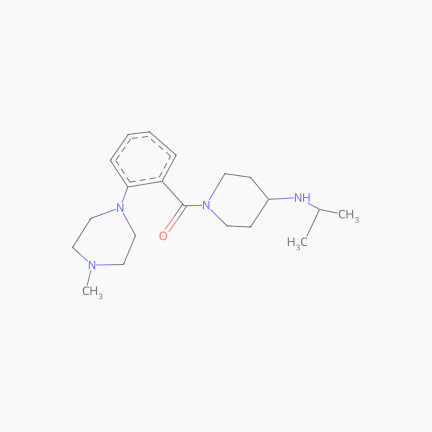 CC(C)NC1CCN(C(=O)c2ccccc2N2CCN(C)CC2)CC1